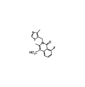 Cc1ncsc1Cn1c(C)c(C(=O)O)c2cccc(F)c2c1=O